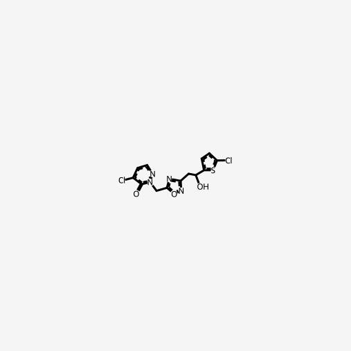 O=c1c(Cl)ccnn1Cc1nc(CC(O)c2ccc(Cl)s2)no1